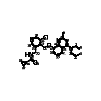 C=CN(/C=C\C)c1cc(C)nc2c(OCc3c(Cl)cncc3CNC(=O)C3CC3)cccc12